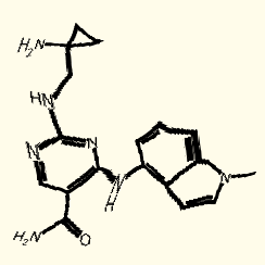 Cn1ccc2c(Nc3nc(NCC4(N)CC4)ncc3C(N)=O)cccc21